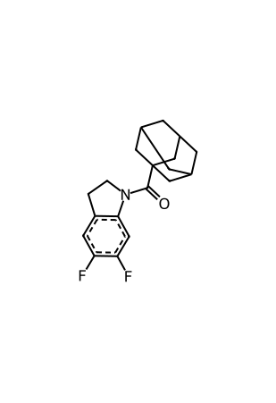 O=C(N1CCc2cc(F)c(F)cc21)C12CC3CC(CC(C3)C1)C2